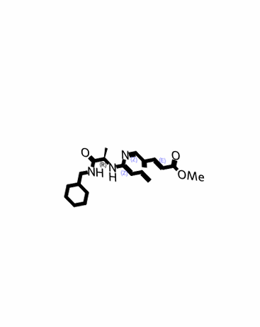 C=C/C=C(\N=C/C(=C)/C=C/C(=O)OC)N[C@H](C)C(=O)NCC1CCCCC1